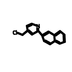 ClCc1ccnc(-c2ccc3ccccc3c2)c1